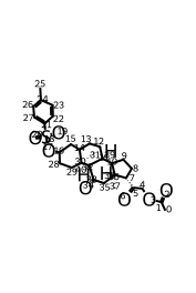 CC(=O)OCC(=O)[C@H]1CC[C@H]2[C@@H]3CCC4CC(OS(=O)(=O)c5ccc(C)cc5)CC[C@]4(C)[C@H]3C(=O)C[C@]12C